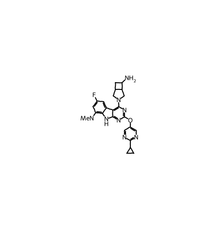 CNc1cc(F)cc2c1[nH]c1nc(Oc3cnc(C4CC4)nc3)nc(N3CC4CC(N)C4C3)c12